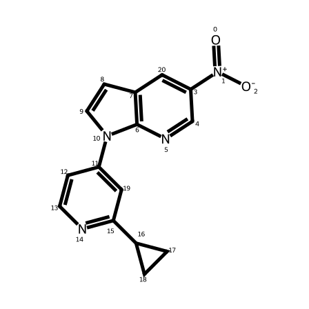 O=[N+]([O-])c1cnc2c(ccn2-c2ccnc(C3CC3)c2)c1